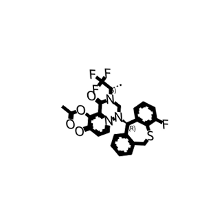 CC(=O)Oc1c2n(ccc1=O)N([C@@H]1c3ccccc3CSc3c(F)cccc31)CN([C@@H](C)C(F)(F)F)C2=O